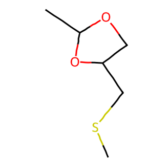 CSCC1COC(C)O1